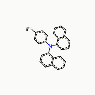 CC(C)c1ccc(N(c2cccc3ccccc23)c2cccc3ccccc23)cc1